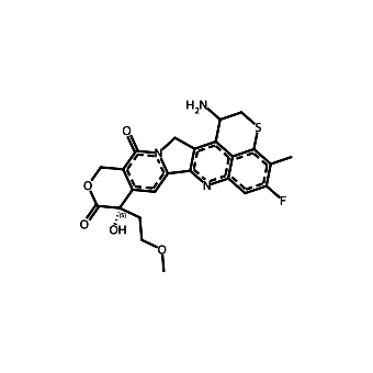 COCC[C@@]1(O)C(=O)OCc2c1cc1n(c2=O)Cc2c-1nc1cc(F)c(C)c3c1c2C(N)CS3